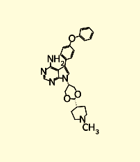 CN1CCC([C@H]2OC[C@@H](n3cc(-c4ccc(Oc5ccccc5)cc4)c4c(N)ncnc43)CO2)CC1